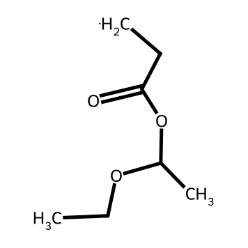 [CH2]CC(=O)OC(C)OCC